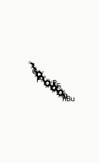 C=CCCOc1ccc(/C=C/C2CCC(c3ccc(C4CCC(OCCCC)CC4)c(F)c3F)CC2)c(F)c1